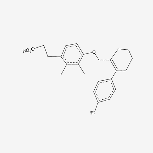 Cc1c(CCC(=O)O)ccc(OCC2=C(c3ccc(C(C)C)cc3)CCCC2)c1C